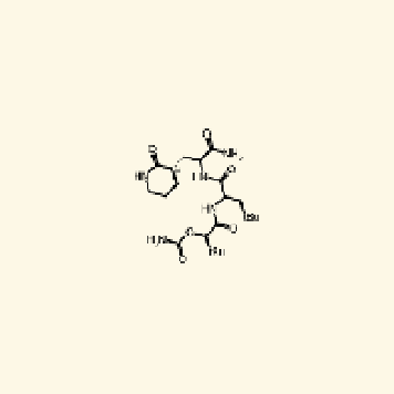 CC(C)(C)CC(NC(=O)C(OC(N)=O)C(C)(C)C)C(=O)NC(C[C@@H]1CCCNC1=O)C(N)=O